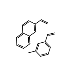 C=Cc1ccc2ccccc2c1.C=Cc1cccc(C)c1